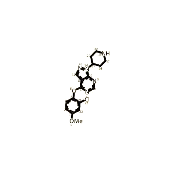 COc1ccc(Oc2ncnc3c2cnn3C2CCNCC2)c(Cl)c1